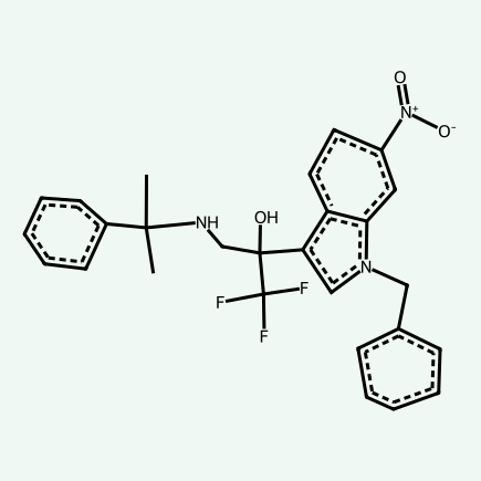 CC(C)(NCC(O)(c1cn(Cc2ccccc2)c2cc([N+](=O)[O-])ccc12)C(F)(F)F)c1ccccc1